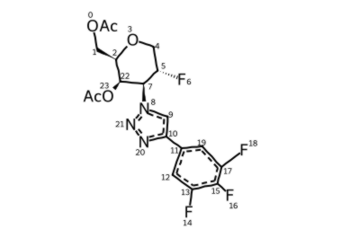 CC(=O)OC[C@H]1OC[C@H](F)[C@@H](n2cc(-c3cc(F)c(F)c(F)c3)nn2)[C@H]1OC(C)=O